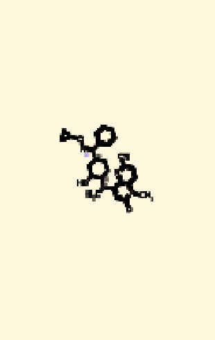 CN(c1cc(=O)n(C)c2ccc(C#N)nc12)[C@@H]1CC[C@H](/C(=N/OC2CC2)c2ccccc2)CC1O